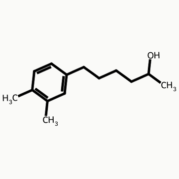 Cc1ccc(CCCCC(C)O)cc1C